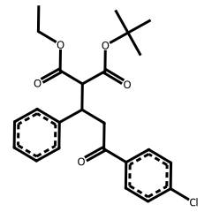 CCOC(=O)C(C(=O)OC(C)(C)C)C(CC(=O)c1ccc(Cl)cc1)c1ccccc1